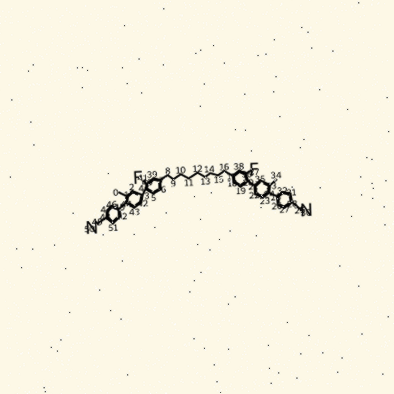 Cc1cc(-c2ccc(CCCCCCCCCc3ccc(-c4ccc(-c5ccc(C#N)cc5)c(C)c4)c(F)c3)cc2F)ccc1-c1ccc(C#N)cc1